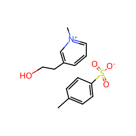 C[n+]1cccc(CCO)c1.Cc1ccc(S(=O)(=O)[O-])cc1